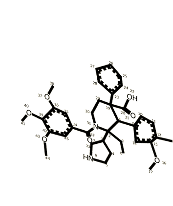 CCC1(C2CCNC2)C(c2ccc(OC)c(OC)c2)C(C(=O)O)(c2ccccc2)CCN1C(=O)c1cc(OC)c(OC)c(OC)c1